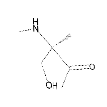 CN[C@](C)(CO)C(C)=O